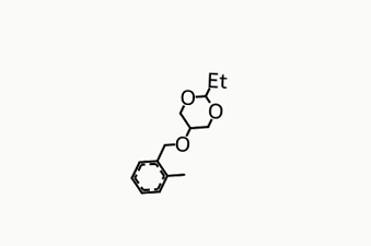 CCC1OCC(OCc2ccccc2C)CO1